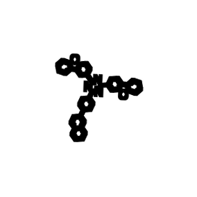 c1ccc2cc(-c3ccc(-c4nc(-c5ccc6c(c5)oc5ccccc56)nc(-c5ccc6oc7ccccc7c6c5)n4)cc3)ccc2c1